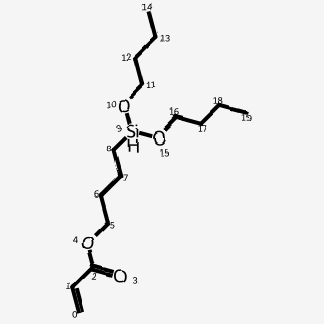 C=CC(=O)OCCCC[SiH](OCCCC)OCCCC